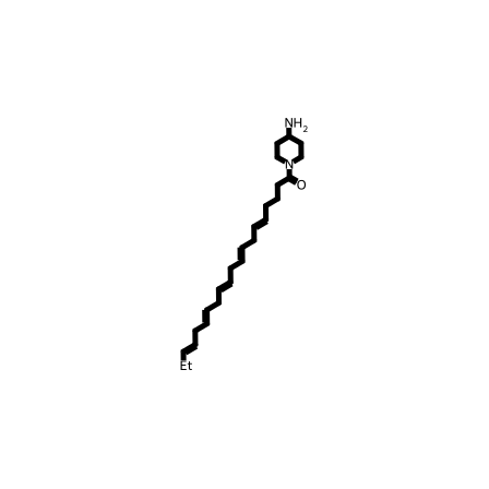 CCC=CCC=CCC=CCC=CCC=CCCCC(=O)N1CCC(N)CC1